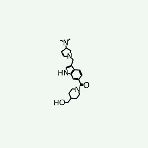 CN(C)C1CCN(Cc2c[nH]c3cc(C(=O)N4CCC(CO)CC4)ccc23)C1